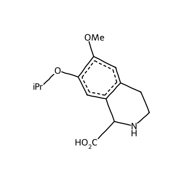 COc1cc2c(cc1OC(C)C)C(C(=O)O)NCC2